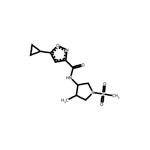 CC1CN(S(C)(=O)=O)CC1NC(=O)c1cc(C2CC2)on1